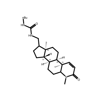 CCCCNC(=O)NCC1CC[C@H]2[C@@H]3CCC4N(C)C(=O)C=C[C@]4(C)[C@@H]3CC[C@]12C